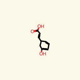 O=C(O)/C=C/C1C=CC=C(O)C1